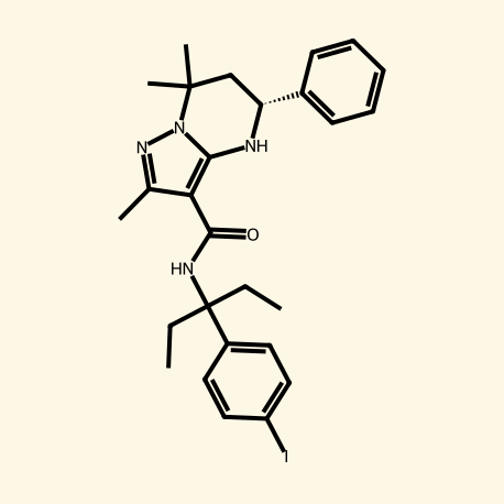 CCC(CC)(NC(=O)c1c(C)nn2c1N[C@@H](c1ccccc1)CC2(C)C)c1ccc(I)cc1